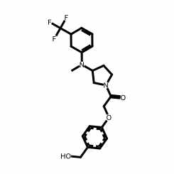 CN(C1=CC=CC(C(F)(F)F)C1)C1CCN(C(=O)COc2ccc(CO)cc2)C1